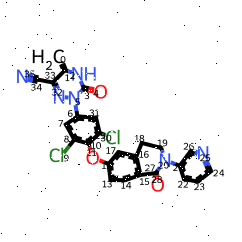 C=C1NC(=O)N(c2cc(Cl)c(Oc3ccc4c(c3)CCN(c3cccnc3)C4=O)c(Cl)c2)N=C1C#N